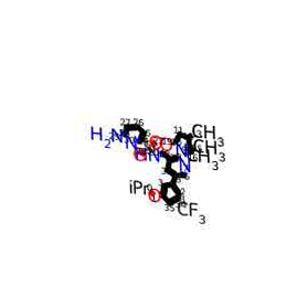 CC(C)Oc1cc(-c2cnc(N3CCC(C)C3(C)C)c(C(=O)NS(=O)(=O)c3cccc(N)n3)c2)cc(C(F)(F)F)c1